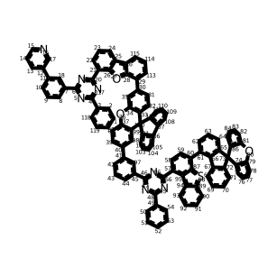 c1ccc(-c2nc(-c3cccc(-c4cccnc4)c3)nc(-c3cccc4c3oc3c(-c5ccc6c(c5)Oc5ccc(-c7cccc(-c8nc(-c9ccccc9)nc(-c9ccc(-c%10cccc%11c%10-c%10ccccc%10C%11%10c%11ccccc%11Oc%11ccccc%11%10)c%10sc%11ccccc%11c9%10)n8)c7)cc5C65c6ccccc6-c6ccccc65)cccc34)n2)cc1